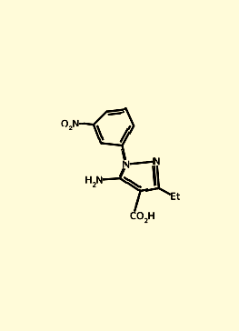 CCc1nn(-c2cccc([N+](=O)[O-])c2)c(N)c1C(=O)O